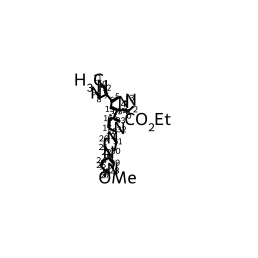 CCOC(=O)c1cnn2cc(-c3cnn(C)c3)cc(-c3ccc(N4CCN(c5ccc(OC)nc5)CC4)nc3)c12